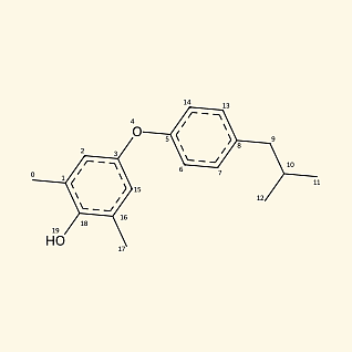 Cc1cc(Oc2ccc(CC(C)C)cc2)cc(C)c1O